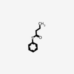 CCCC(=O)Sc1ccccc1